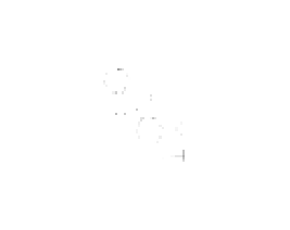 O=S(=O)(c1ccccc1)c1ccc(O)c(Cl)c1